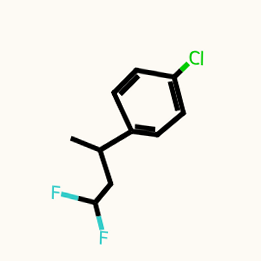 CC(CC(F)F)c1ccc(Cl)cc1